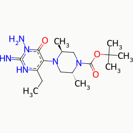 CCc1[nH]c(=N)n(N)c(=O)c1N1C[C@@H](C)N(C(=O)OC(C)(C)C)C[C@@H]1C